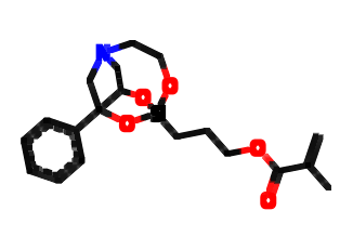 C=C(C)C(=O)OCCC[Si]12OCCN(CCO1)CC(c1ccccc1)O2